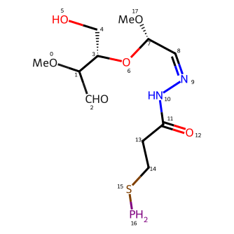 COC(C=O)[C@H](CO)O[C@@H](/C=N\NC(=O)CCSP)OC